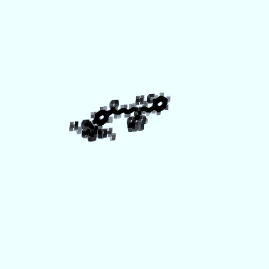 Cc1ccccc1CCN(CCCCC(=O)c1ccc2c(c1)N(C)S(=O)(=O)N2C)C(=O)OC(C)(C)C